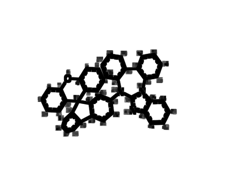 c1ccc2c(c1)Oc1ccccc1C21c2ccccc2-c2ccc(N3c4ccccc4-c4ccccc4-n4c3nc3ccccc34)cc21